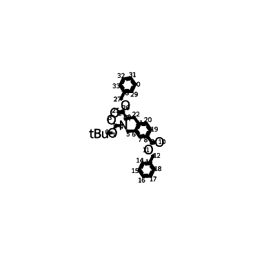 CC(C)(C)OC(=O)N1Cc2cc(C(=O)OCc3ccccc3)ccc2C[C@@H]1C(=O)OCc1ccccc1